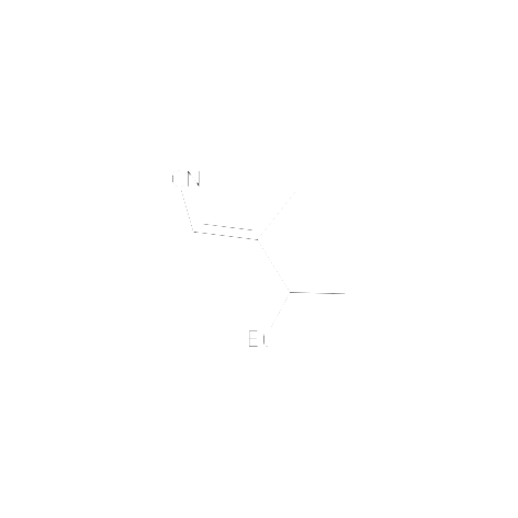 CCC(C)C(C)=CC#N